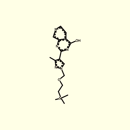 Cc1nn(COCC[Si](C)(C)C)cc1-c1nc(O)c2ccncc2n1